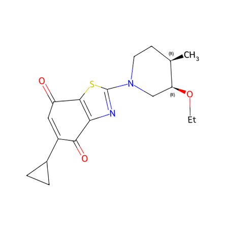 CCO[C@H]1CN(c2nc3c(s2)C(=O)C=C(C2CC2)C3=O)CC[C@H]1C